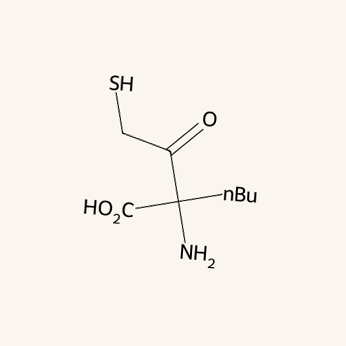 CCCCC(N)(C(=O)O)C(=O)CS